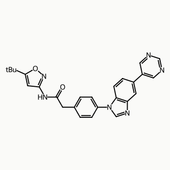 CC(C)(C)c1cc(NC(=O)Cc2ccc(-n3cnc4cc(-c5cncnc5)ccc43)cc2)no1